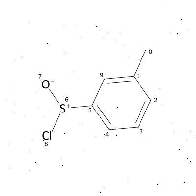 Cc1cccc([S+]([O-])Cl)c1